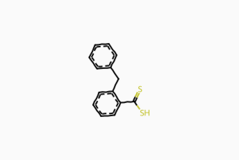 S=C(S)c1ccccc1Cc1ccccc1